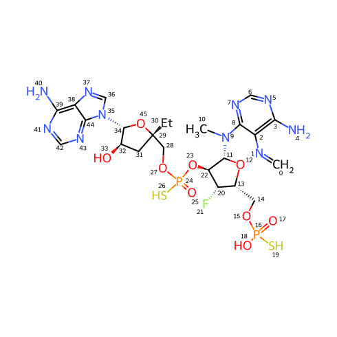 C=Nc1c(N)ncnc1N(C)[C@@H]1O[C@H](COP(=O)(O)S)[C@H](F)[C@H]1OP(=O)(S)OC[C@]1(CC)C[C@@H](O)[C@H](n2cnc3c(N)ncnc32)O1